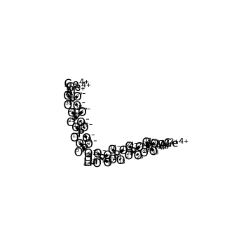 O=P([O-])([O-])[O-].O=P([O-])([O-])[O-].O=P([O-])([O-])[O-].O=P([O-])([O-])[O-].O=P([O-])([O-])[O-].O=P([O-])([O-])[O-].O=P([O-])([O-])[O-].O=P([O-])([O-])[O-].[Al+3].[Al+3].[Al+3].[Ge+4].[Ge+4].[Ge+4].[Li+].[Li+].[Li+]